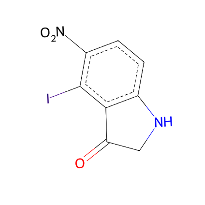 O=C1CNc2ccc([N+](=O)[O-])c(I)c21